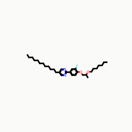 CCCCCCCCCCCCc1cnc(-c2ccc(OCC(C)OCCCCCCC)c(F)c2)nc1